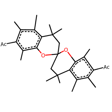 CC(=O)c1c(C)c(C)c2c(c1C)OC1(CC2(C)C)CC(C)(C)c2c(C)c(C)c(C(C)=O)c(C)c2O1